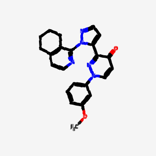 O=c1ccn(-c2cccc(OC(F)(F)F)c2)nc1-c1ccnn1-c1nccc2c1CCCC2